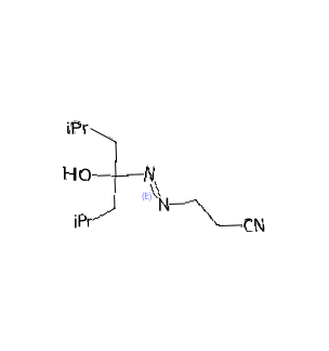 CC(C)CC(O)(CC(C)C)/N=N/CCC#N